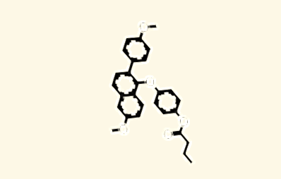 CCCC(=O)Oc1ccc(Oc2c(-c3ccc(OC)cc3)ccc3cc(OC)ccc23)cc1